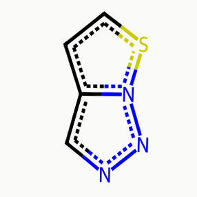 c1cc2cnnn2s1